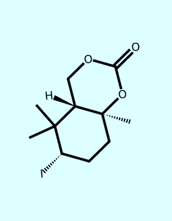 CC1(C)[C@@H](I)CC[C@]2(C)OC(=O)OC[C@@H]12